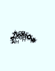 CNc1nc([C@H]2CCCN2C(=O)[C@H](O)[C@@H](O)C(=O)N[C@H](C)c2ccc(-n3cccn3)cc2)cs1